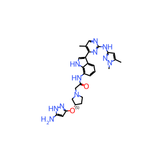 Cc1cnc(Nc2cc(C)n(C)n2)nc1-c1c[nH]c2c(NC(=O)CN3CC[C@H](Oc4cc(N)[nH]n4)C3)cccc12